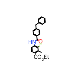 CCOC(=O)c1ccc(NC(=O)c2ccc(Cc3ccccc3)cc2)c(F)c1C